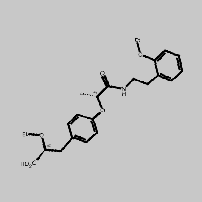 CCOc1ccccc1CCNC(=O)[C@@H](C)Oc1ccc(C[C@H](OCC)C(=O)O)cc1